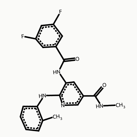 CNC(=O)c1cnc(Nc2ccccc2C)c(NC(=O)c2cc(F)cc(F)c2)c1